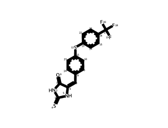 O=C1NC(=S)NC1=Cc1ccc(Sc2ccc(C(F)(F)F)cc2)cc1